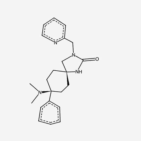 CN(C)[C@]1(c2ccccc2)CC[C@@]2(CC1)CN(Cc1ccccn1)C(=O)N2